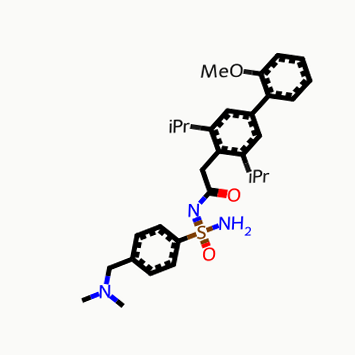 COc1ccccc1-c1cc(C(C)C)c(CC(=O)N=S(N)(=O)c2ccc(CN(C)C)cc2)c(C(C)C)c1